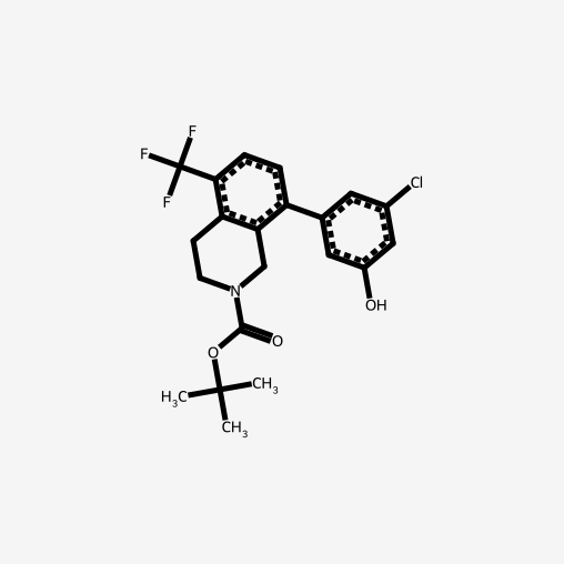 CC(C)(C)OC(=O)N1CCc2c(C(F)(F)F)ccc(-c3cc(O)cc(Cl)c3)c2C1